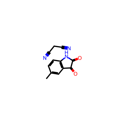 Cc1ccc2c(c1)C(=O)C(=O)N2.N#CCC#N